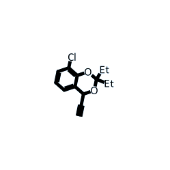 C#CC1OC(CC)(CC)Oc2c(Cl)cccc21